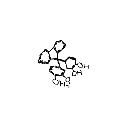 OC1=C(O)CC(C2(c3ccc(O)c(O)c3)c3ccccc3-c3ccccc32)C=C1